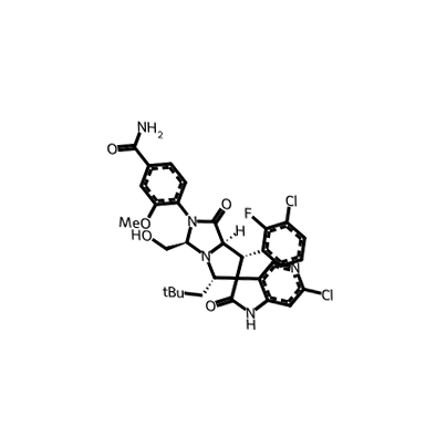 COc1cc(C(N)=O)ccc1N1C(=O)[C@H]2[C@H](c3cccc(Cl)c3F)C3(C(=O)Nc4cc(Cl)ncc43)[C@H](CC(C)(C)C)N2[C@H]1CO